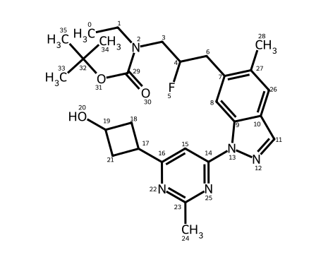 CCN(CC(F)Cc1cc2c(cnn2-c2cc(C3CC(O)C3)nc(C)n2)cc1C)C(=O)OC(C)(C)C